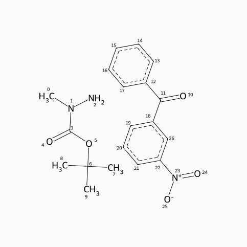 CN(N)C(=O)OC(C)(C)C.O=C(c1ccccc1)c1cccc([N+](=O)[O-])c1